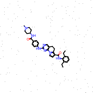 CCc1cccc(CC)c1NC(=O)c1ccn2c1CCc1cnc(Nc3ccc(C(=O)NC4CCN(C)CC4)cc3)nc1-2